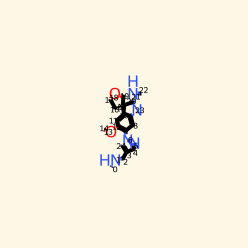 CNCc1cnn(-c2cc3c(cc2OC)[C@@]2(CCOC2)C(NC)=N3)c1